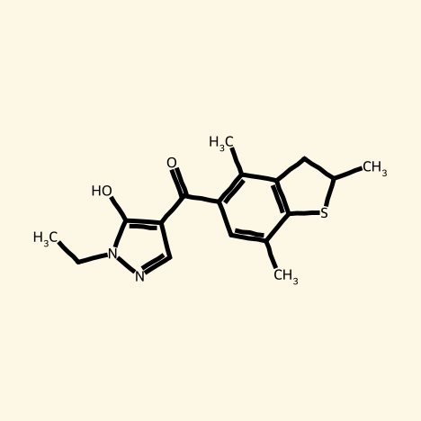 CCn1ncc(C(=O)c2cc(C)c3c(c2C)CC(C)S3)c1O